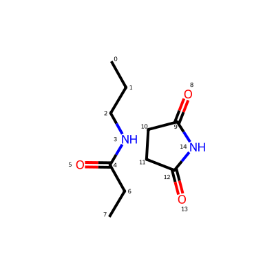 CCCNC(=O)CC.O=C1CCC(=O)N1